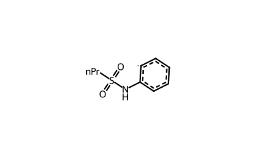 CCCS(=O)(=O)Nc1[c]cccc1